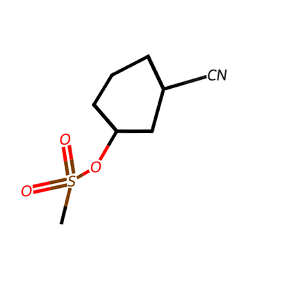 CS(=O)(=O)OC1CCCC(C#N)C1